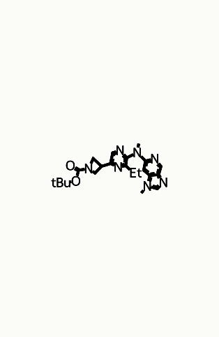 CCc1nc(C2CN(C(=O)OC(C)(C)C)C2)cnc1N(C)c1cc2c(cn1)ncn2C